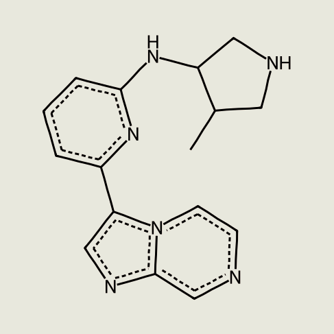 CC1CNCC1Nc1cccc(-c2cnc3cnccn23)n1